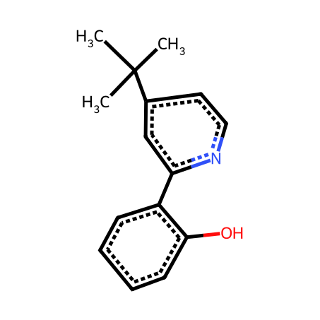 CC(C)(C)c1ccnc(-c2ccccc2O)c1